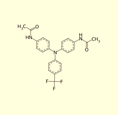 CC(=O)Nc1ccc(N(c2ccc(NC(C)=O)cc2)c2ccc(C(F)(F)F)cc2)cc1